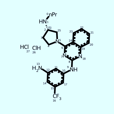 CCCN[C@H]1CCN(c2nc(Nc3cc(N)cc(C(F)(F)F)c3)nc3ccccc23)C1.Cl.Cl